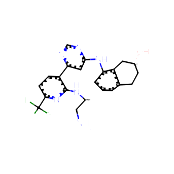 C[C@@H](CN)Nc1nc(C(F)(F)F)ccc1-c1cc(Nc2cccc3c2C[C@H](O)CC3)ncn1